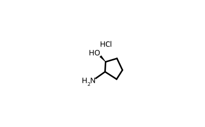 Cl.NC1CCC[C@@H]1O